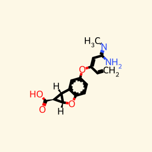 C=C/C(=C\C(N)=N/C)Oc1ccc2c(c1)[C@@H]1[C@H](O2)[C@H]1C(=O)O